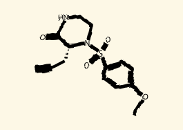 C#CC[C@@H]1C(=O)NCCN1S(=O)(=O)c1ccc(OC)cc1